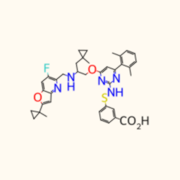 Cc1cccc(C)c1-c1cc(OCC(CC2(C)CC2)NCc2nc3cc(C4(C)CC4)oc3cc2F)nc(NSc2cccc(C(=O)O)c2)n1